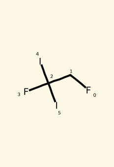 FCC(F)(I)I